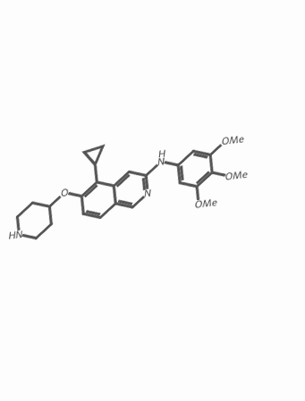 COc1cc(Nc2cc3c(C4CC4)c(OC4CCNCC4)ccc3cn2)cc(OC)c1OC